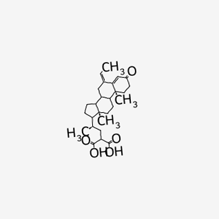 C/C=C1/CC2C3CCC([C@H](C)CC(C(=O)O)C(=O)O)[C@@]3(C)CCC2[C@@]2(C)CCC(=O)C=C12